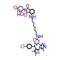 Cc1sc2c(c1C)C(c1ccc(Cl)cc1)=N[C@@H](CC(=O)NCCCCCCCCNc1cccc3c1C(=O)N(C1CCC(=O)NC1=O)C3=O)c1nnc(C)n1-2